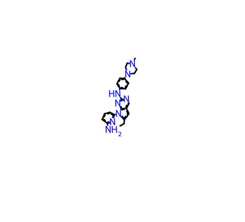 CCc1cc2cnc(Nc3ccc(N4CCN(C)CC4)cc3)nc2n1-c1cccc(N)n1